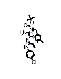 C=C/C(=N\C(=C(/N)NC(=O)OC(C)(C)C)n1nc(C)cc1C)Nc1ccc(Cl)cc1